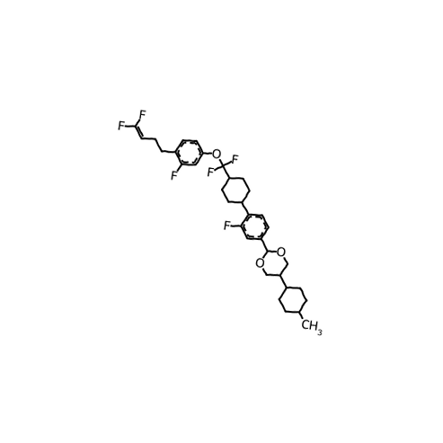 CC1CCC(C2COC(c3ccc(C4CCC(C(F)(F)Oc5ccc(CCC=C(F)F)c(F)c5)CC4)c(F)c3)OC2)CC1